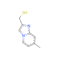 Cc1ccn2cc(CS)nc2c1